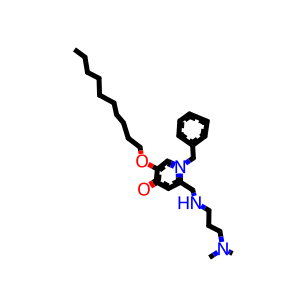 CCCCCCCCCCOc1cn(Cc2ccccc2)c(CNCCCN(C)C)cc1=O